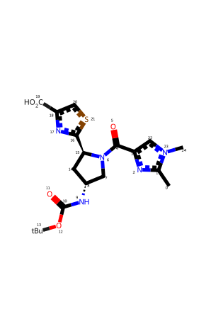 Cc1nc(C(=O)N2C[C@H](NC(=O)OC(C)(C)C)C[C@H]2c2nc(C(=O)O)cs2)cn1C